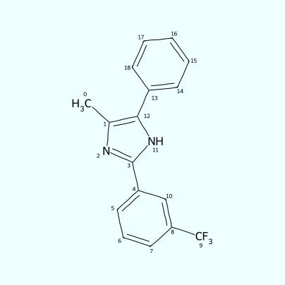 Cc1nc(-c2cccc(C(F)(F)F)c2)[nH]c1-c1ccccc1